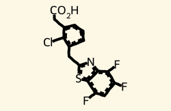 O=C(O)Cc1cccc(Cc2nc3c(F)c(F)cc(F)c3s2)c1Cl